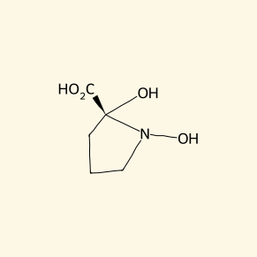 O=C(O)[C@]1(O)CCCN1O